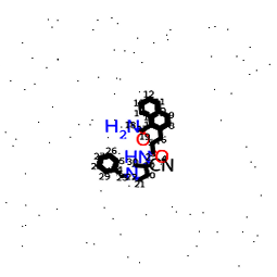 N#CC1(NC(=O)[CH]Cc2ccc3ccccc3c2C(N)=O)CCN(Cc2ccccc2)C1